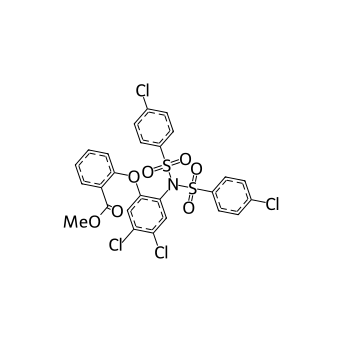 COC(=O)c1ccccc1Oc1cc(Cl)c(Cl)cc1N(S(=O)(=O)c1ccc(Cl)cc1)S(=O)(=O)c1ccc(Cl)cc1